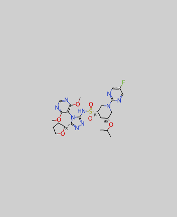 COc1ncnc(OC)c1-n1c(NS(=O)(=O)[C@H]2C[C@@H](OC(C)C)CN(c3ncc(F)cn3)C2)nnc1[C@H]1CCCO1